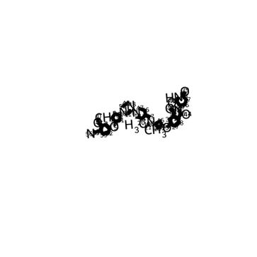 COc1cc(O[C@H]2CC[C@H](N3C=C(N4CCC(CN(C(C)C)C5CC(Oc6ccc7c(c6)C(=O)N([C@H]6CCC(=O)NC6=O)C7=O)C5)CC4)N=CC3)C2)ccc1C#N